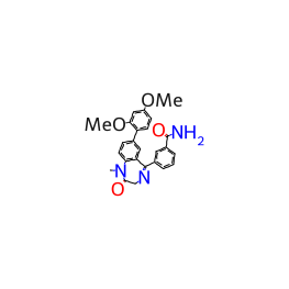 COc1ccc(-c2ccc3c(c2)C(c2cccc(C(N)=O)c2)=NCC(=O)N3C)c(OC)c1